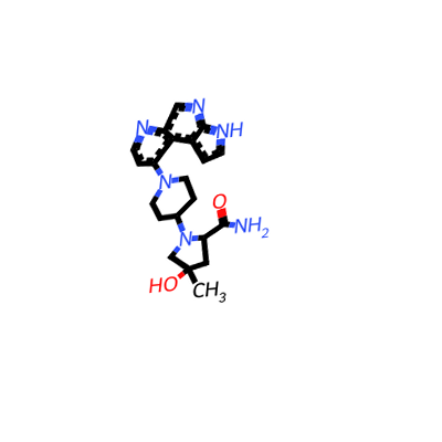 CC1(O)CC(C(N)=O)N(C2CCN(c3ccnc4cnc5[nH]ccc5c34)CC2)C1